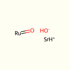 [OH-].[O]=[Ru].[SrH+]